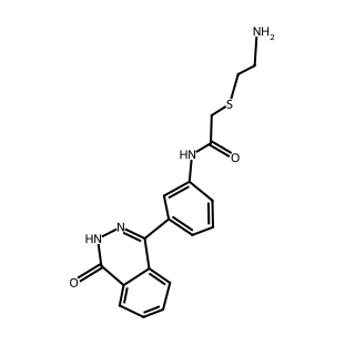 NCCSCC(=O)Nc1cccc(-c2n[nH]c(=O)c3ccccc23)c1